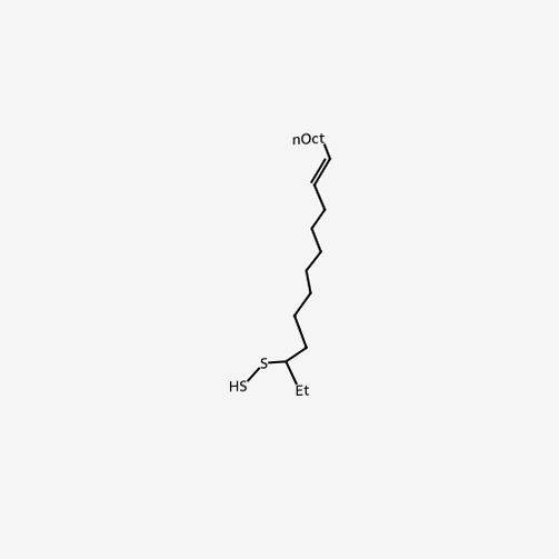 CCCCCCCCC=CCCCCCCCC(CC)SS